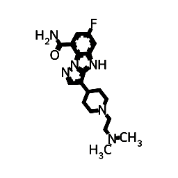 CN(C)CCN1CCC(c2cnn3c2[nH]c2cc(F)cc(C(N)=O)c23)CC1